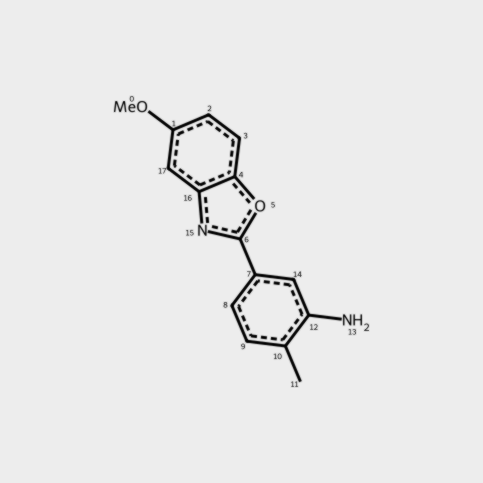 COc1ccc2oc(-c3ccc(C)c(N)c3)nc2c1